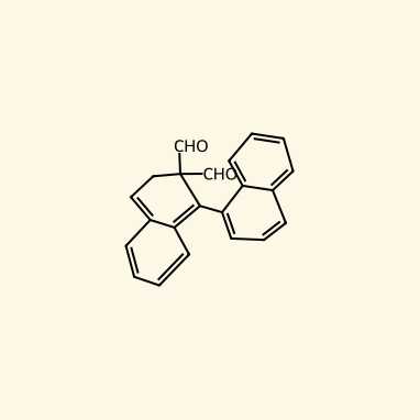 O=CC1(C=O)CC=c2ccccc2=C1c1cccc2ccccc12